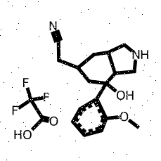 COc1ccccc1C1(O)CC(CC#N)CC2CNCC21.O=C(O)C(F)(F)F